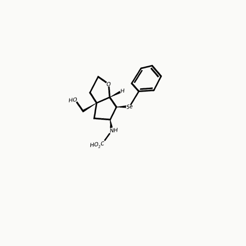 O=C(O)N[C@H]1C[C@]2(CO)CCO[C@@H]2[C@H]1[Se]c1ccccc1